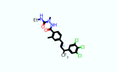 CCNC(=O)N(C)NC(=O)c1ccc(/C=C/C(c2cc(Cl)c(Cl)c(Cl)c2)C(F)(F)F)cc1C